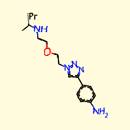 CC(C)C(C)NCCOCCn1cc(-c2ccc(N)cc2)nn1